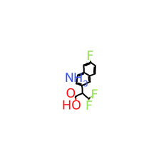 N.O=C(O)C(c1ccc2cc(F)ccc2c1)C(F)F